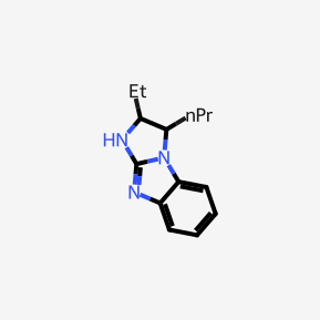 CCCC1C(CC)Nc2nc3ccccc3n21